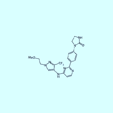 COCCn1cc(Nc2ccnc(-c3ccc(N4CCNC4=O)cc3)n2)c(C(F)(F)F)n1